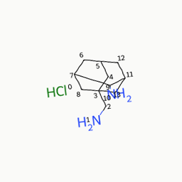 Cl.NCC12CC3CC(C1)C(N)C(C3)C2